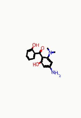 CN(C)c1cc(N)cc(O)c1C(=O)c1ccccc1O